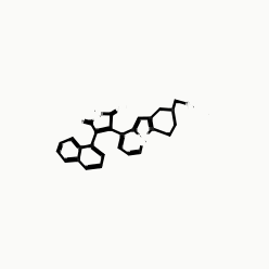 NCC1CCc2c(cc3c(C4=C(c5cccc6ccccc56)C(=O)NC4=O)cccn23)C1